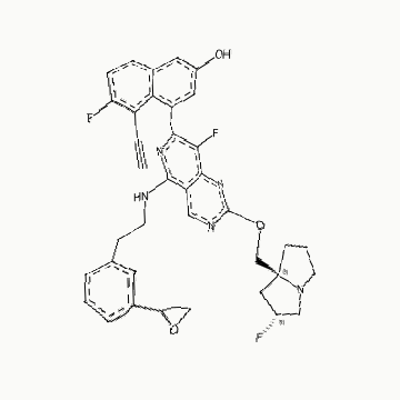 C#Cc1c(F)ccc2cc(O)cc(-c3nc(NCCc4cccc(C5CO5)c4)c4cnc(OC[C@@]56CCCN5C[C@H](F)C6)nc4c3F)c12